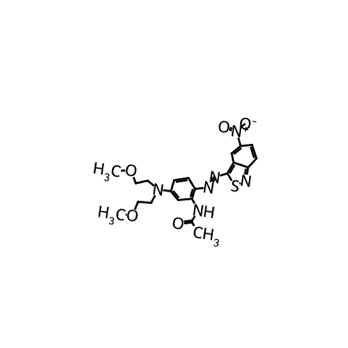 COCCN(CCOC)c1ccc(/N=N/c2snc3ccc([N+](=O)[O-])cc23)c(NC(C)=O)c1